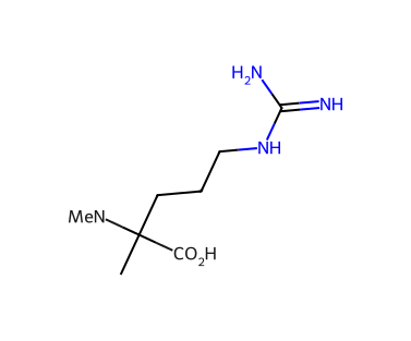 CNC(C)(CCCNC(=N)N)C(=O)O